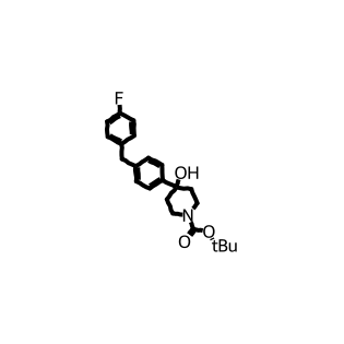 CC(C)(C)OC(=O)N1CCC(O)(c2ccc(Cc3ccc(F)cc3)cc2)CC1